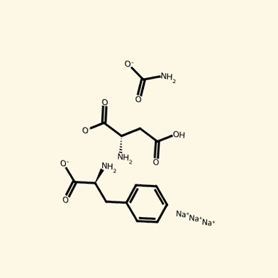 NC(=O)[O-].N[C@@H](CC(=O)O)C(=O)[O-].N[C@@H](Cc1ccccc1)C(=O)[O-].[Na+].[Na+].[Na+]